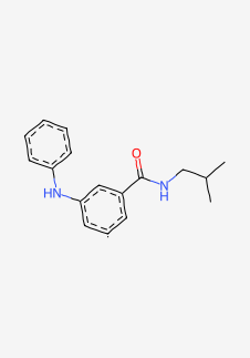 CC(C)CNC(=O)c1c[c]cc(Nc2ccccc2)c1